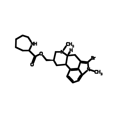 CN1C[C@H](COC(=O)C2CCCCCN2)CC2c3cccc4c3c(c(Br)n4C)C[C@H]21